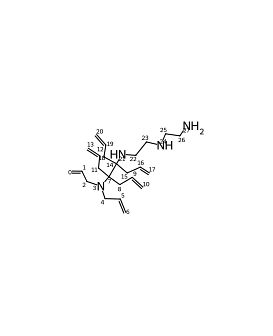 C=CCN(CC=C)C(CC=C)(CC=C)C(CC=C)(CC=C)NCCNCCN